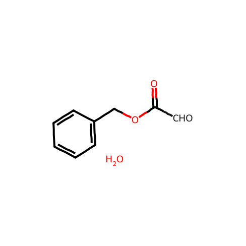 O.O=CC(=O)OCc1ccccc1